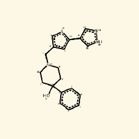 OC1(c2ccccc2)CCN(Cc2csc(-c3cn[nH]c3)c2)CC1